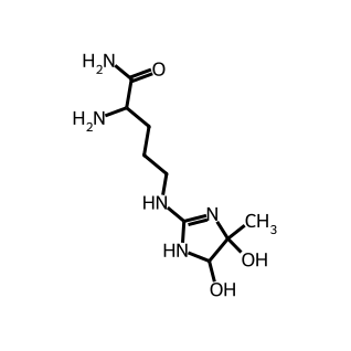 CC1(O)N=C(NCCCC(N)C(N)=O)NC1O